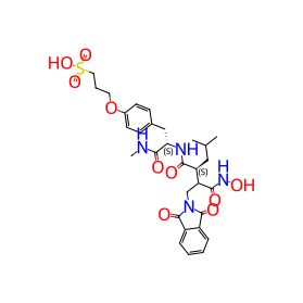 CNC(=O)[C@H](Cc1ccc(OCCCS(=O)(=O)O)cc1)NC(=O)[C@@H](CC(C)C)C(CN1C(=O)c2ccccc2C1=O)C(=O)NO